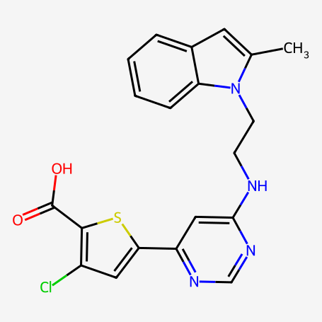 Cc1cc2ccccc2n1CCNc1cc(-c2cc(Cl)c(C(=O)O)s2)ncn1